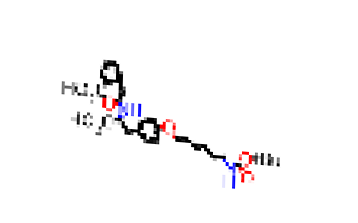 CC(C)(C)OC(=O)NCCCCCCOc1ccc(CC(NC(=O)Cc2ccccc2C(=O)O)C(=O)O)cc1